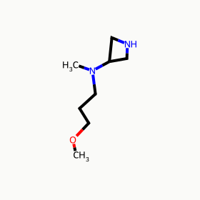 COCCCN(C)C1CNC1